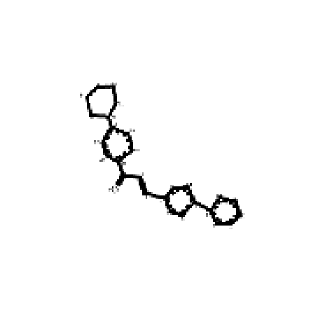 O=C(C=Cc1ccc(-c2ccccc2)cc1)c1ccc(C2CCCCC2)cc1